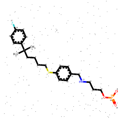 CC(C)(CCCCSc1ccc(CNCCCO[PH](=O)O)cc1)c1ccc(F)cc1